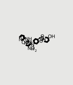 COc1ncccc1Nc1ncc([N+](=O)[O-])c(N[C@H]2CC[C@H](CS(=O)(=O)N3CCCC(O)C3)CC2)n1